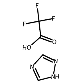 O=C(O)C(F)(F)F.c1nc[nH]n1